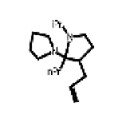 C=CCC1CCN(C(C)C)C1(CCC)N1CCCC1